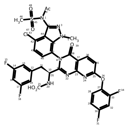 CC(=O)N(c1nn(C)c2c(-n3c([C@H](Cc4cc(F)cc(F)c4)NC(=O)O)nc4nc(Oc5ccc(F)cc5F)ccc4c3=O)ccc(Cl)c12)S(C)(=O)=O